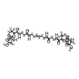 COC(=O)[C@H](C)NP1(=O)OCC(C)(C)[C@H](C(=O)NCCC(=O)NCCSSCCNC(=O)CCNC(=O)[C@@H]2OP(=O)(N[C@@H](C)C(=O)OC)OCC2(C)C)O1